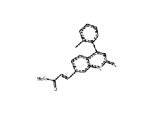 COC(=O)/C=C/c1ccc2c(-c3ccccc3C)cc(=O)oc2c1